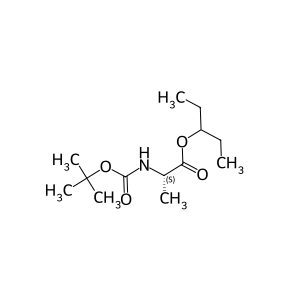 CCC(CC)OC(=O)[C@H](C)NC(=O)OC(C)(C)C